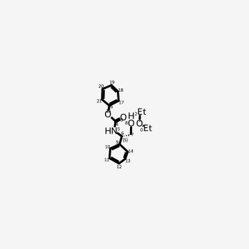 CCOCC.O=C(N[C@H](CO)c1ccccc1)Oc1ccccc1